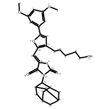 COc1cc(OC)cc(-c2cc(CCCCCO)c(/C=C3\SC(=S)N(C4C5CC6CC(C5)CC4C6)C3=O)o2)c1